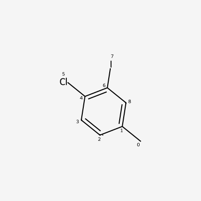 Cc1[c]cc(Cl)c(I)c1